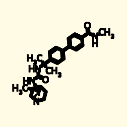 CNC(=O)c1ccc(-c2ccc(C(C)(C)NC(=O)NC3(C)CN4CCC3CC4)cc2)cc1